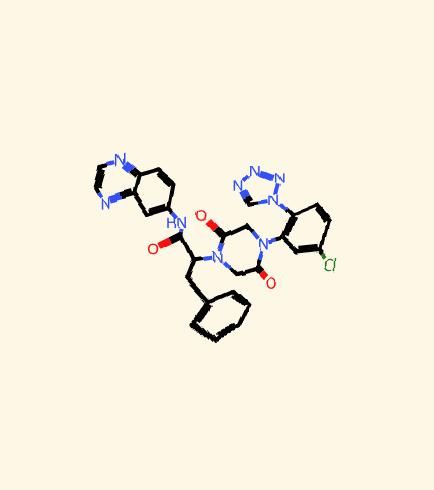 O=C(Nc1ccc2nccnc2c1)C(Cc1ccccc1)N1CC(=O)N(c2cc(Cl)ccc2-n2cnnn2)CC1=O